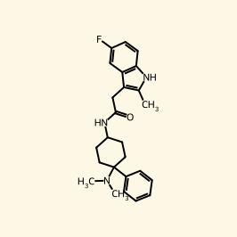 Cc1[nH]c2ccc(F)cc2c1CC(=O)NC1CCC(c2ccccc2)(N(C)C)CC1